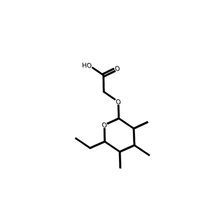 CCC1OC(OCC(=O)O)C(C)C(C)C1C